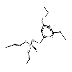 CCCS[P@@](=S)(OCC)OCc1cc(OCC)nc(SC)n1